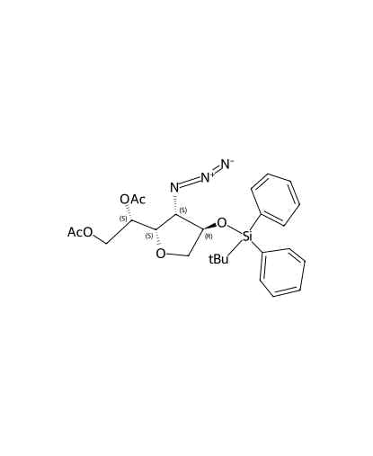 CC(=O)OC[C@H](OC(C)=O)[C@H]1OC[C@H](O[Si](c2ccccc2)(c2ccccc2)C(C)(C)C)[C@H]1N=[N+]=[N-]